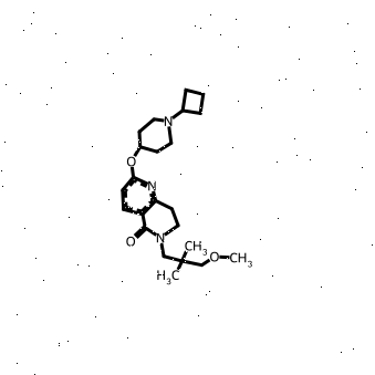 COCC(C)(C)CN1CCc2nc(OC3CCN(C4CCC4)CC3)ccc2C1=O